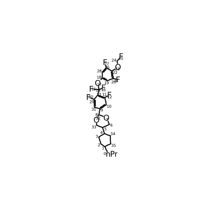 CCCC1CCC(C2COC(c3cc(F)c(C(F)(F)Oc4cc(F)c(OCF)c(F)c4)c(F)c3)OC2)CC1